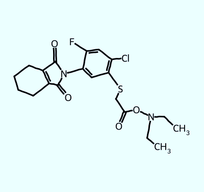 CCN(CC)OC(=O)CSc1cc(N2C(=O)C3=C(CCCC3)C2=O)c(F)cc1Cl